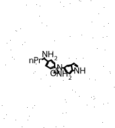 CCCC(N)c1ccc(S(N)(=O)=Nc2ccc3[nH]ccc3c2)cc1